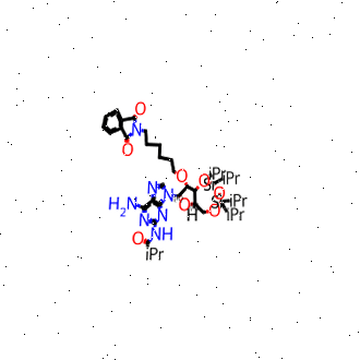 CC(C)C(=O)Nc1nc(N)c2ncn([C@@H]3O[C@@H]4CO[Si](C(C)C)(C(C)C)O[Si](C(C)C)(C(C)C)OC4C3OCCCCCCN3C(=O)c4ccccc4C3=O)c2n1